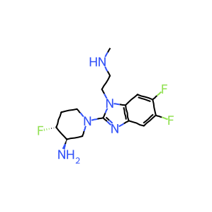 CNCCn1c(N2CC[C@@H](F)[C@H](N)C2)nc2cc(F)c(F)cc21